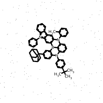 Cc1ccccc1N1c2cc3c4ccccc4n(-c4ccccc4)c3cc2B2c3cc(C45CC6CC(CC(C6)C4)C5)ccc3N(c3ccc(C(C)(C)C)cc3)c3cccc1c32